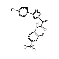 C=C(C(=O)Nc1ccc([N+](=O)[O-])cc1F)n1cc(-c2ccc(Cl)cc2)nn1